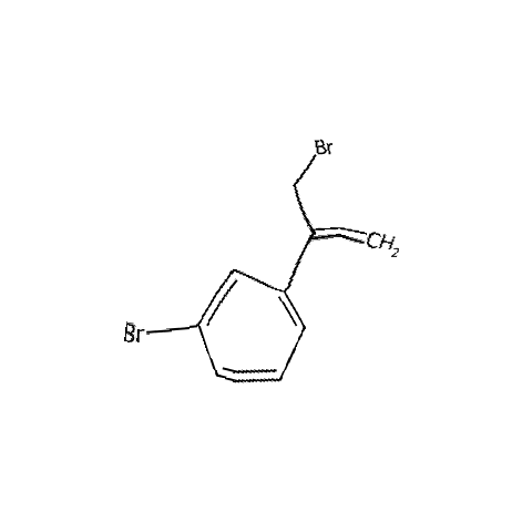 C=C(CBr)c1cccc(Br)c1